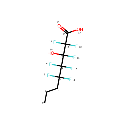 CCCC(F)(F)C(F)(F)C(O)(F)C(F)(F)C(=O)O